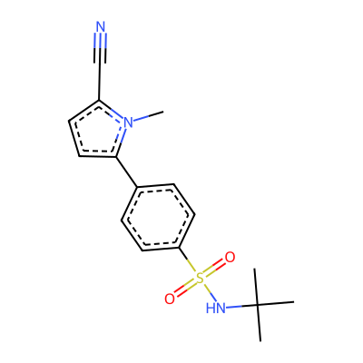 Cn1c(C#N)ccc1-c1ccc(S(=O)(=O)NC(C)(C)C)cc1